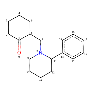 O=C1CCCCC1CN1CCCCC1c1ccccc1